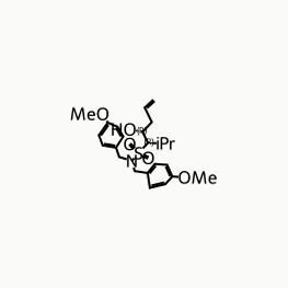 C=CC[C@@H](O)[C@@H](C(C)C)S(=O)(=O)N(Cc1ccc(OC)cc1)Cc1ccc(OC)cc1